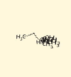 CCCCCCCC/C=C\CCCCCCCC(=O)N[C@@H](C)C(=O)N[C@H](C(=O)O)C(C)C